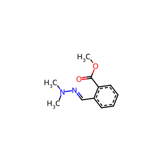 COC(=O)c1ccccc1/C=N/N(C)C